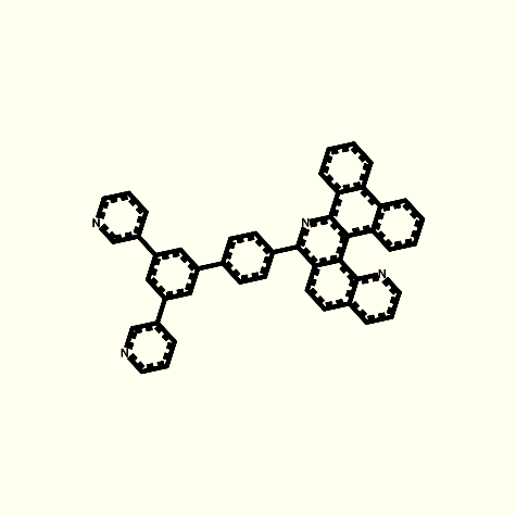 c1cncc(-c2cc(-c3ccc(-c4nc5c6ccccc6c6ccccc6c5c5c4ccc4cccnc45)cc3)cc(-c3cccnc3)c2)c1